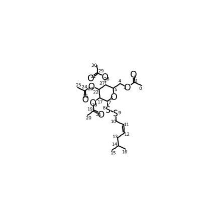 CC(=O)OCC1O[C@@H](SSC/C=C\CC(C)C)C(OC(C)=O)C(OC(C)=O)[C@@H]1OC(C)=O